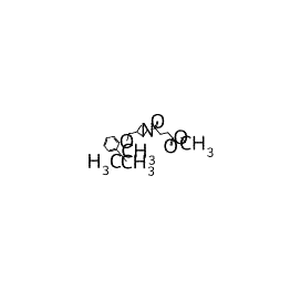 COC(=O)CCC(=O)N1CC(COc2ccccc2C(C)(C)C)C1